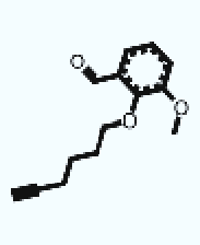 C#CCCCCOc1c(C=O)cccc1OC